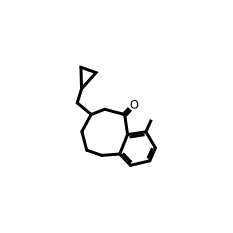 Cc1cccc2c1C(=O)CC(CC1CC1)CCC2